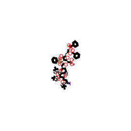 COC(C[C@@H]1O[C@H](C[C@@H](COC(=O)c2ccccc2)OC(=O)c2ccccc2)[C@H](OC)[C@H]1[C@H](C(=O)C[C@H]1CC[C@@H]2O[C@@H]([C@H](/C=C/I)O[Si](C)(C)C(C)(C)C)[C@@H](O[Si](C)(C)C(C)(C)C)[C@@H](O[Si](C)(C)C(C)(C)C)[C@H]2O1)S(=O)(=O)c1ccccc1)OC